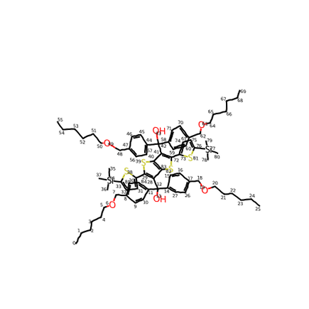 CCCCCCOCc1ccc(C(O)(c2ccc(COCCCCCC)cc2)c2c(-c3ccc([Si](C)(C)C)s3)sc3c(C(O)(c4ccc(COCCCCCC)cc4)c4ccc(COCCCCCC)cc4)c(-c4ccc([Si](C)(C)C)s4)sc23)cc1